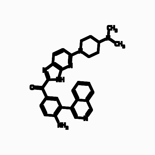 CN(C)C1CCN(c2ccc3nc(C(=O)c4ccc(N)c(-c5cncc6ccccc56)c4)[nH]c3n2)CC1